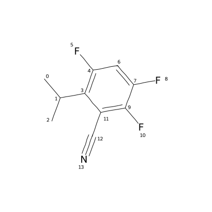 CC(C)c1c(F)cc(F)c(F)c1C#N